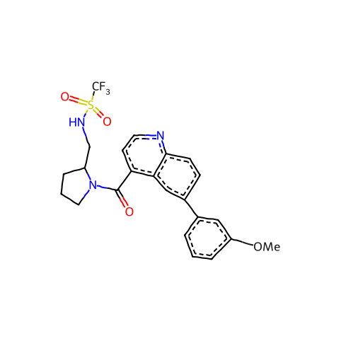 COc1cccc(-c2ccc3nccc(C(=O)N4CCCC4CNS(=O)(=O)C(F)(F)F)c3c2)c1